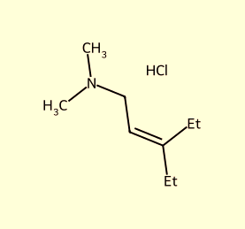 CCC(=CCN(C)C)CC.Cl